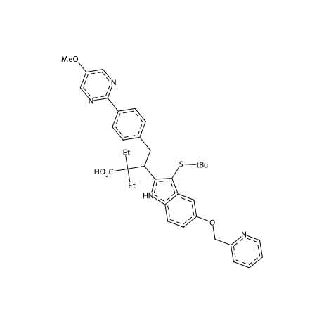 CCC(CC)(C(=O)O)C(Cc1ccc(-c2ncc(OC)cn2)cc1)c1[nH]c2ccc(OCc3ccccn3)cc2c1SC(C)(C)C